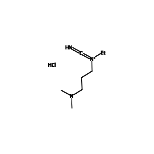 CC[N+](=C=N)CCCN(C)C.Cl